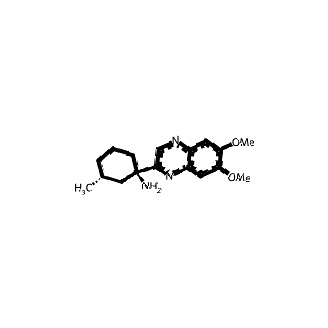 COc1cc2ncc([C@@]3(N)CCC[C@@H](C)C3)nc2cc1OC